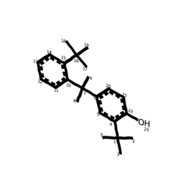 CC(C)(C)c1cc(C(C)(C)c2cc[c]cc2C(C)(C)C)ccc1O